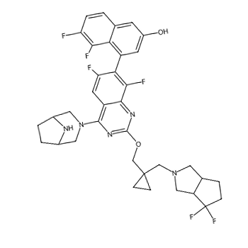 Oc1cc(-c2c(F)cc3c(N4CC5CCC(C4)N5)nc(OCC4(CN5CC6CCC(F)(F)C6C5)CC4)nc3c2F)c2c(F)c(F)ccc2c1